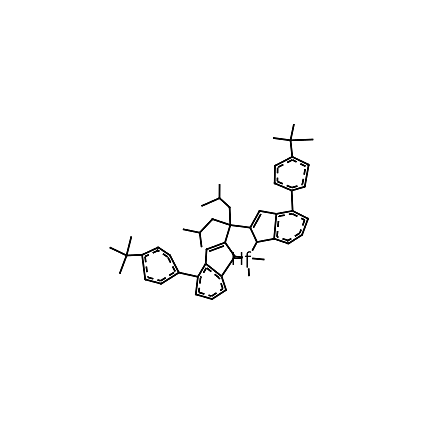 CC(C)CC1(CC(C)C)C2=Cc3c(-c4ccc(C(C)(C)C)cc4)cccc3[CH]2[Hf]([CH3])([CH3])[CH]2C1=Cc1c(-c3ccc(C(C)(C)C)cc3)cccc12